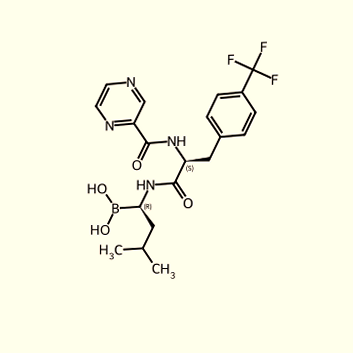 CC(C)C[C@H](NC(=O)[C@H](Cc1ccc(C(F)(F)F)cc1)NC(=O)c1cnccn1)B(O)O